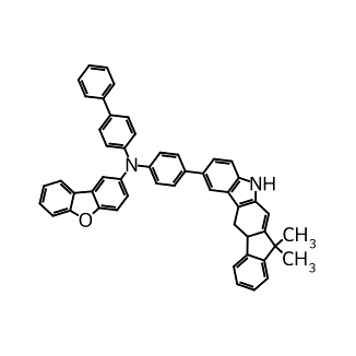 CC1(C)C2=Cc3[nH]c4ccc(-c5ccc(N(c6ccc(-c7ccccc7)cc6)c6ccc7oc8ccccc8c7c6)cc5)cc4c3CC2c2ccccc21